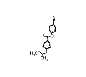 CCC(C)Cc1ccc(C(=O)Oc2ccc(C#N)cc2)cc1